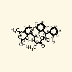 COc1ccnc(C(=O)N[C@@H](C)C(=O)ON(C)C(c2ccccc2)c2ccccc2)c1OC(C)=O